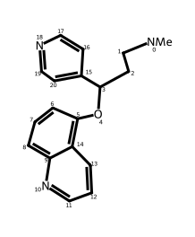 CNCCC(Oc1cccc2ncccc12)c1ccncc1